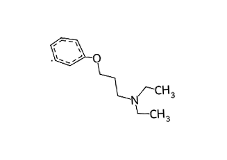 CCN(CC)CCCOc1c[c]ccc1